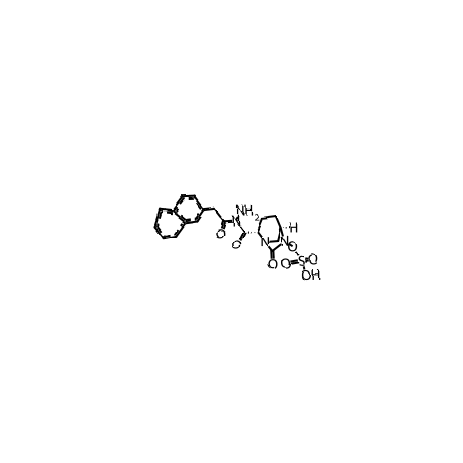 NN(C(=O)Cc1ccc2ccccc2c1)C(=O)[C@@H]1CC[C@@H]2CN1C(=O)N2OS(=O)(=O)O